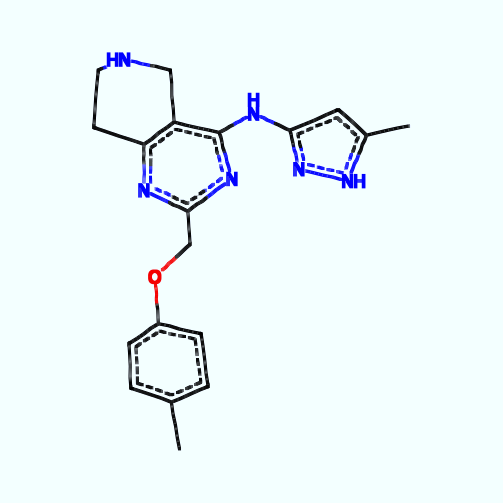 Cc1ccc(OCc2nc3c(c(Nc4cc(C)[nH]n4)n2)CNCC3)cc1